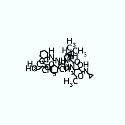 CCCC(NC(=O)[C@@H]1[C@@H]2[C@H](CN1C(=O)[C@@H](NC(=O)NC1(CS(=O)(=O)C(C)(C)CO)CCCCC1)C1(C)CCCCC1)C2(C)C)C(=O)C(=O)NC1CC1